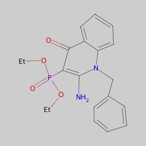 CCOP(=O)(OCC)c1c(N)n(Cc2ccccc2)c2ccccc2c1=O